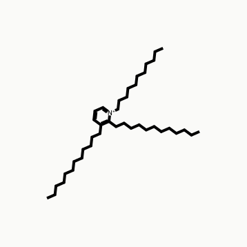 CCCCCCCCCCCCc1ccc[n+](CCCCCCCCCCC)c1CCCCCCCCCCCC